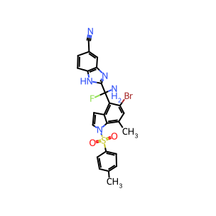 Cc1ccc(S(=O)(=O)n2ccc3c(C(N)(F)c4nc5cc(C#N)ccc5[nH]4)c(Br)cc(C)c32)cc1